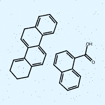 C1=c2c(ccc3c2=CCc2ccccc2-3)CCC1.O=C(O)c1cccc2ccccc12